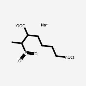 CCCCCCCCCCCCC(C(=O)[O-])C(C)P(=O)=O.[Na+]